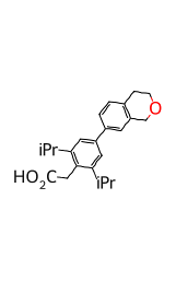 CC(C)c1cc(-c2ccc3c(c2)COCC3)cc(C(C)C)c1CC(=O)O